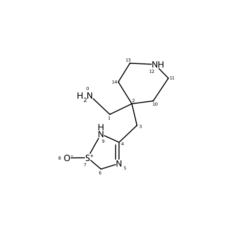 NCC1(CC2=NC[S+]([O-])N2)CCNCC1